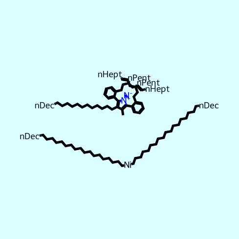 CCCCCCCC=CCC(CCCCC)CCc1ccccc1C1=C(C)C(CCCCCCCCCCCCCCCCCCCCCC)=C(c2ccccc2CCC(CC=CCCCCCCC)CCCCC)[N+]1=[N-].CCCCCCCCCCCCCCCCCCCCCCCCCCC[CH2][Ni][CH2]CCCCCCCCCCCCCCCCCCCCCCCCCCC